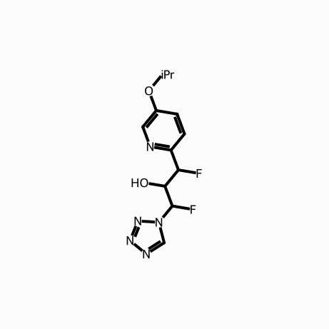 CC(C)Oc1ccc(C(F)C(O)C(F)n2cnnn2)nc1